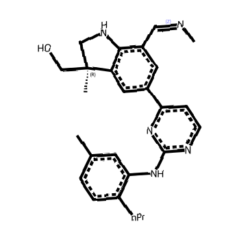 CCCc1ccc(C)cc1Nc1nccc(-c2cc(/C=N\C)c3c(c2)[C@@](C)(CO)CN3)n1